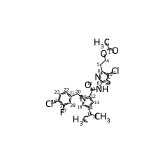 CC(=O)OCCc1nc(NC(=O)c2cc(C(C)C)cn2Cc2ccc(Cl)c(F)c2)sc1Cl